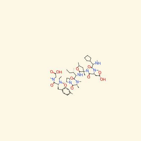 CC[C@H](C)[C@H](NC(=O)[C@](C)(CC(C)C)N(C)C(=O)[C@H](CC(=O)O)N(C)C(=O)C(NC)C1CCCC1)C(=O)N(C)[C@@H](C)C(=O)N1CC[C@H]1C(=O)N(CC)[C@@H](Cc1ccc(C)cc1)C(=O)N(C)CC(=O)O